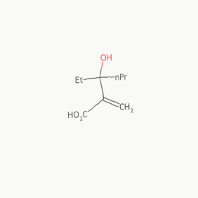 C=C(C(=O)O)C(O)(CC)CCC